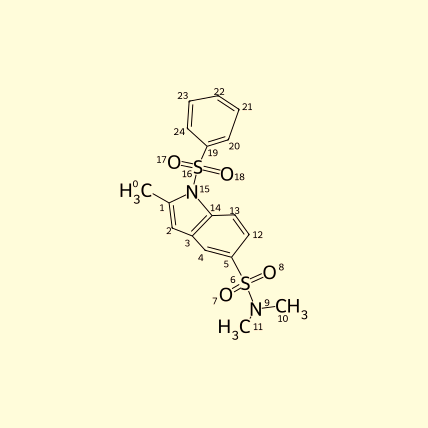 Cc1cc2cc(S(=O)(=O)N(C)C)ccc2n1S(=O)(=O)c1ccccc1